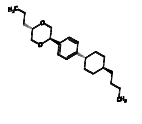 CCCC[C@H]1CC[C@H](c2ccc([C@@H]3CO[C@@H](CCC)CO3)cc2)CC1